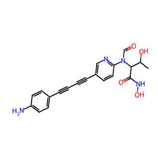 CC(O)C(C(=O)NO)N(C=O)c1ccc(C#CC#Cc2ccc(N)cc2)cn1